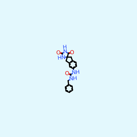 O=C(NCc1ccccc1)Nc1ccc2c(c1)CC1(C2)NC(=O)NC1=O